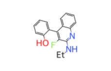 CCNc1nc2ccccc2c(-c2ccccc2O)c1F